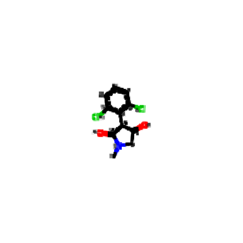 CN1CC(=O)C(c2c(Cl)cccc2Cl)C1=O